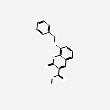 COC(=O)c1cc2cccc(OCc3ccccc3)c2[nH]c1=O